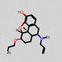 C=CCN(CC)C1Cc2ccc(O)c3c2[C@]2(C)C1CC[C@@H](OCCC(C)C)[C@@H]2O3